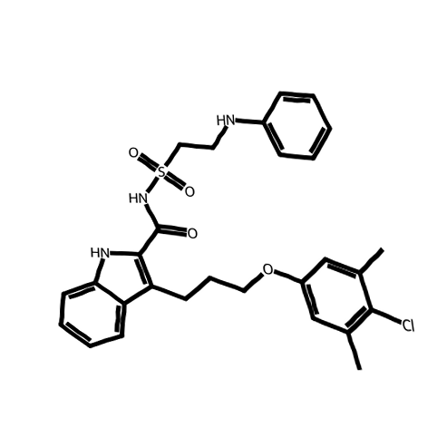 Cc1cc(OCCCc2c(C(=O)NS(=O)(=O)CCNc3ccccc3)[nH]c3ccccc23)cc(C)c1Cl